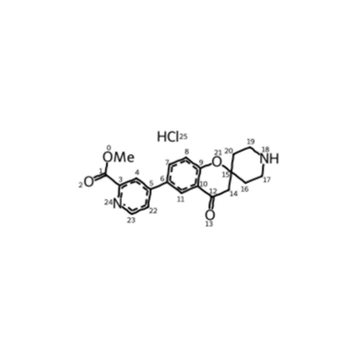 COC(=O)c1cc(-c2ccc3c(c2)C(=O)CC2(CCNCC2)O3)ccn1.Cl